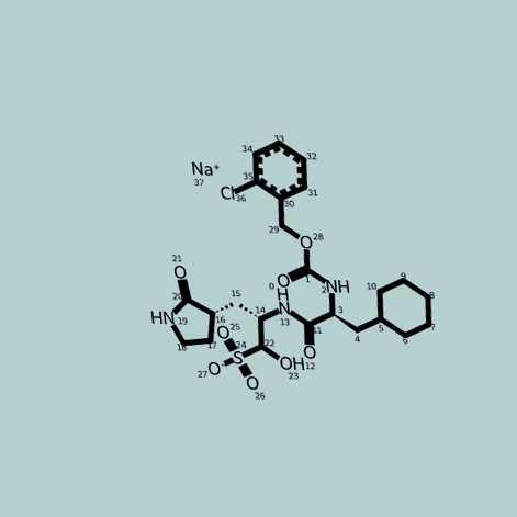 O=C(N[C@@H](CC1CCCCC1)C(=O)N[C@@H](C[C@@H]1CCNC1=O)C(O)S(=O)(=O)[O-])OCc1ccccc1Cl.[Na+]